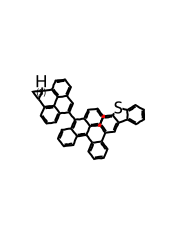 c1ccc(-c2c3ccccc3c(-c3cc4cccc5c4c4c(cccc34)C3C[C@H]53)c3ccccc23)c(-c2ccc3sc4ccccc4c3c2)c1